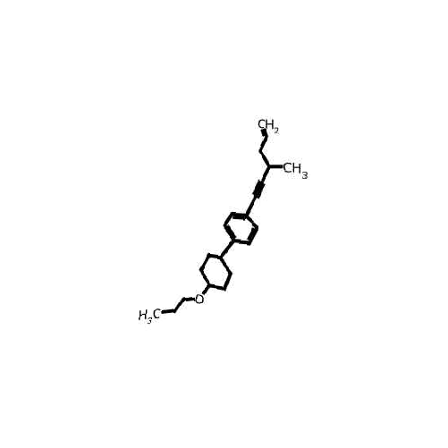 C=CCC(C)C#Cc1ccc(C2CCC(OCCC)CC2)cc1